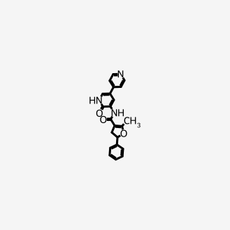 CC1=C(C(=O)Nc2cc(-c3ccncc3)c[nH]c2=O)CC(c2ccccc2)O1